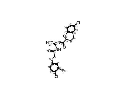 C=C(NC(=O)COc1ccc(Cl)c(F)c1)NC(=O)C1CCc2cc(Cl)ccc2O1